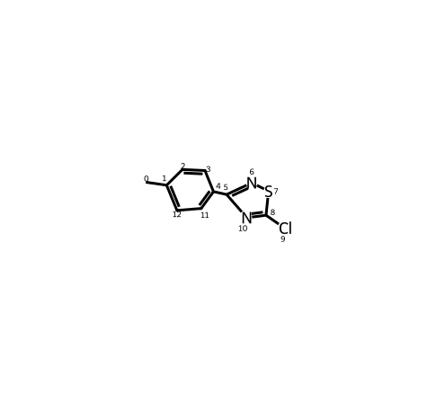 Cc1ccc(-c2nsc(Cl)n2)cc1